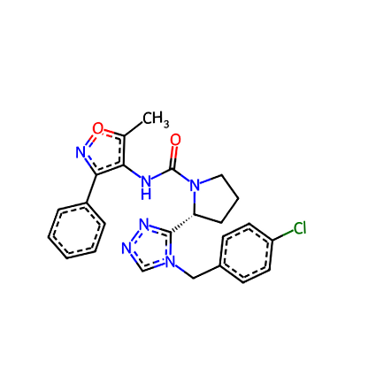 Cc1onc(-c2ccccc2)c1NC(=O)N1CCC[C@@H]1c1nncn1Cc1ccc(Cl)cc1